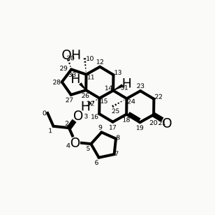 CCC(=O)OC1CCCC1.C[C@]12CC[C@H]3[C@@H](CCC4=CC(=O)CC[C@@]43C)[C@@H]1CC[C@@H]2O